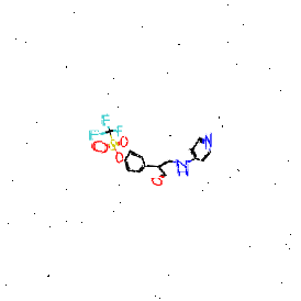 O=CC(CNc1ccncc1)c1ccc(OS(=O)(=O)C(F)(F)F)cc1